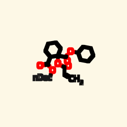 C=CC(=O)OC1(C(=O)OC2CCCCC2)CCCCC1C(=O)OCCCCCCCCCC